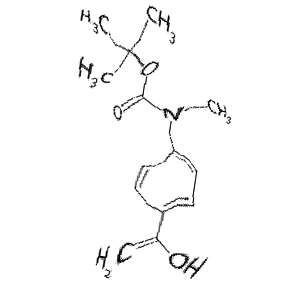 C=C(O)c1ccc(N(C)C(=O)OC(C)(C)C)cc1